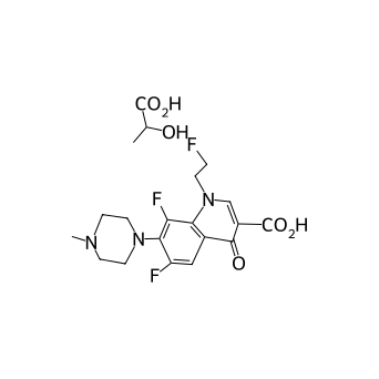 CC(O)C(=O)O.CN1CCN(c2c(F)cc3c(=O)c(C(=O)O)cn(CCF)c3c2F)CC1